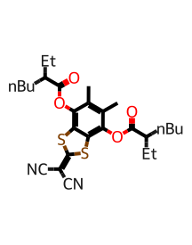 CCCCC(CC)C(=O)Oc1c(C)c(C)c(OC(=O)C(CC)CCCC)c2c1SC(=C(C#N)C#N)S2